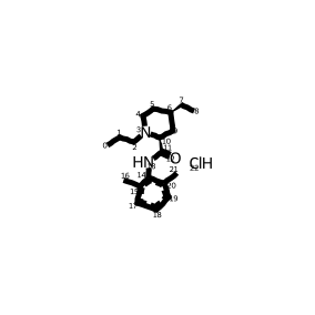 CCCN1CC[C@@H](CC)C[C@H]1C(=O)Nc1c(C)cccc1C.Cl